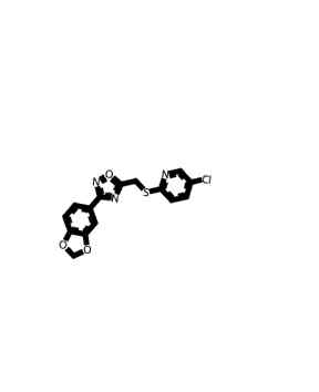 Clc1ccc(SCc2nc(-c3ccc4c(c3)OCO4)no2)nc1